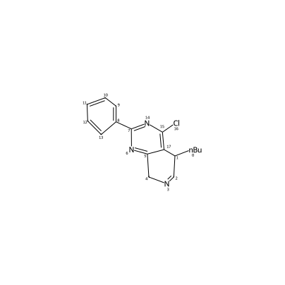 CCCCC1C=NCc2nc(-c3ccccc3)nc(Cl)c21